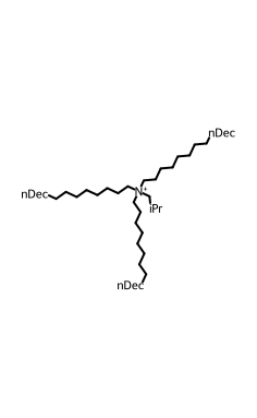 CCCCCCCCCCCCCCCCCC[N+](CCCCCCCCCCCCCCCCCC)(CCCCCCCCCCCCCCCCCC)CC(C)C